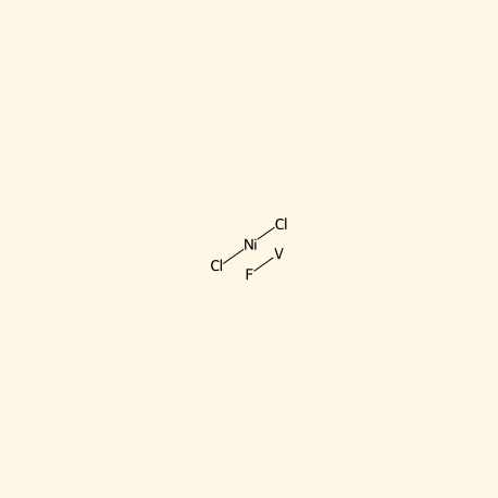 [Cl][Ni][Cl].[F][V]